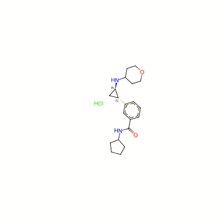 Cl.O=C(NC1CCCC1)c1cccc([C@@H]2C[C@H]2NC2CCOCC2)c1